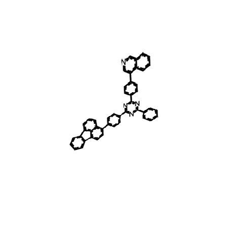 c1ccc(-c2nc(-c3ccc(-c4cncc5ccccc45)cc3)nc(-c3ccc(-c4ccc5c6c(cccc46)-c4ccccc4-5)cc3)n2)cc1